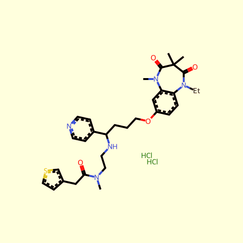 CCN1C(=O)C(C)(C)C(=O)N(C)c2cc(OCCCC(NCCN(C)C(=O)Cc3ccsc3)c3ccncc3)ccc21.Cl.Cl